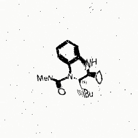 CC[C@H](C)[C@H]1C(=O)Nc2ccccc2N1C(=O)NC